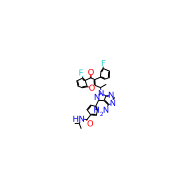 CC(C)NC(=O)c1ccc(-c2nn(C(C)c3oc4cccc(F)c4c(=O)c3-c3cccc(F)c3)c3ncnc(N)c23)cc1